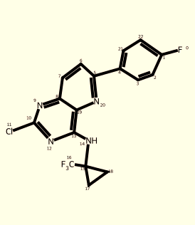 Fc1ccc(-c2ccc3nc(Cl)nc(NC4(C(F)(F)F)CC4)c3n2)cc1